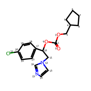 O=C(OCC1CCCC1)OC(Cn1ccnc1)c1ccc(Cl)cc1